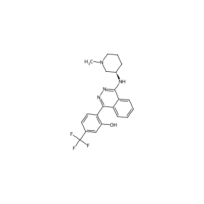 CN1CCC[C@@H](Nc2nnc(-c3ccc(C(F)(F)F)cc3O)c3ccccc23)C1